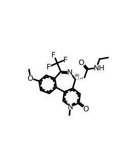 CCNC(=O)C[C@H]1N=C(C(F)(F)F)c2cc(OC)ccc2-c2cn(C)c(=O)cc21